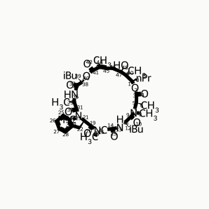 CCC[C@H]1OC(=O)[C@H](C)N(C)C(=O)[C@H]([C@@H](C)CC)NC(=O)CN(C)C(=O)[C@@H](Cc2ccccc2)N(C)C(=O)[C@H](C)NC(=O)[C@@H]([C@@H](C)CC)OC(=O)/C(C)=C/C[C@H](O)[C@@H]1C